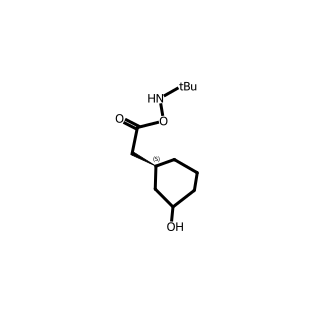 CC(C)(C)NOC(=O)C[C@H]1CCCC(O)C1